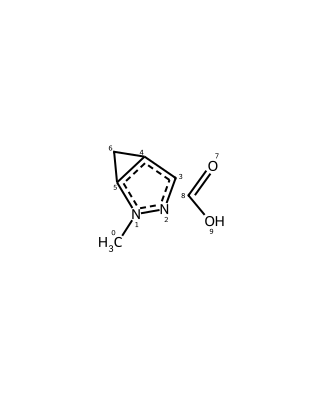 Cn1ncc2c1C2.O=CO